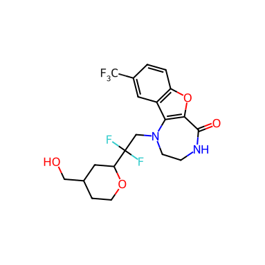 O=C1NCCN(CC(F)(F)C2CC(CO)CCO2)c2c1oc1ccc(C(F)(F)F)cc21